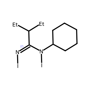 CCC(CC)/C(=N/I)N(I)C1CCCCC1